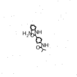 CC(C)C(=O)Nc1ccc(C(=O)Nc2ccccc2N)cc1